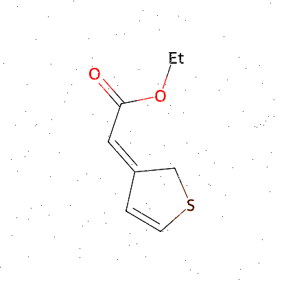 CCOC(=O)C=C1C=CSC1